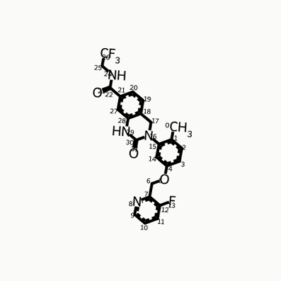 Cc1ccc(OCc2ncccc2F)cc1N1Cc2ccc(C(=O)NCC(F)(F)F)cc2NC1=O